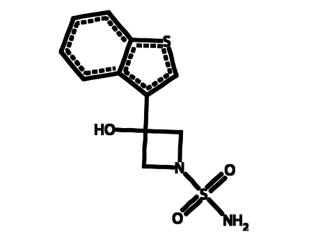 NS(=O)(=O)N1CC(O)(c2csc3ccccc23)C1